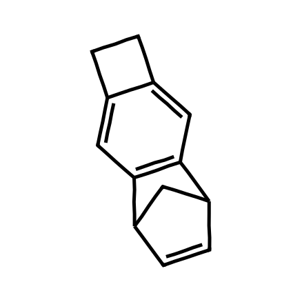 C1=CC2CC1c1cc3c(cc12)CC3